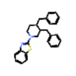 c1ccc(CC2CCN(c3nc4ccccc4s3)CC2Cc2ccccc2)cc1